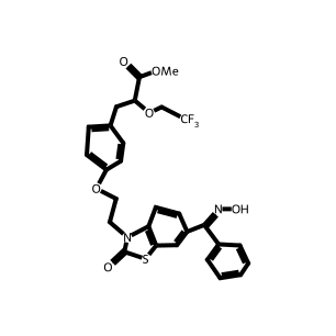 COC(=O)C(Cc1ccc(OCCn2c(=O)sc3cc(C(=NO)c4ccccc4)ccc32)cc1)OCC(F)(F)F